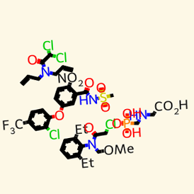 C=CCN(CC=C)C(=O)C(Cl)Cl.CCc1cccc(CC)c1N(COC)C(=O)CCl.CS(=O)(=O)NC(=O)c1cc(Oc2ccc(C(F)(F)F)cc2Cl)ccc1[N+](=O)[O-].O=C(O)CNCP(=O)(O)O